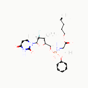 C=CCCCOC(=O)[C@H](C)N[P@](=O)(OCC1OC(n2ccc(=O)[nH]c2=O)[C@](C)(F)[C@@H]1OC)Oc1ccccc1